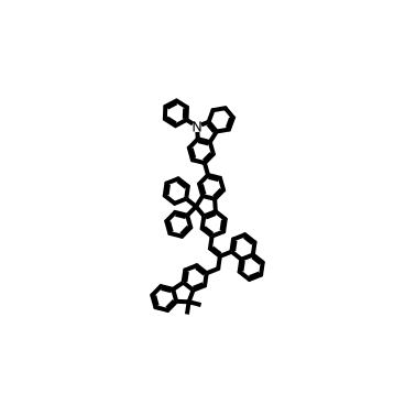 CC1(C)c2ccccc2-c2ccc(C/C(=C/c3ccc4c(c3)C(c3ccccc3)(C3C=CC=CC3)c3cc(-c5ccc6c(c5)c5c(n6-c6ccccc6)CCC=C5)ccc3-4)c3cccc4ccccc34)cc21